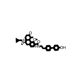 COc1c(C(=O)NCCc2ccc(-c3ccc(O)cc3)cc2)ccc2c1C1C(C)C(=O)CC[C@H]1[C@H](N(C)CC1CC1)C2